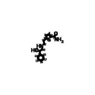 NC(=O)c1ccc(CCNC[C@@H](O)c2ccccc2)s1